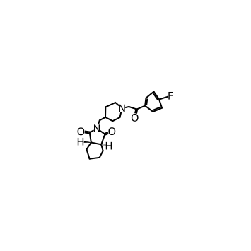 O=C(CN1CCC(CN2C(=O)[C@H]3CCCC[C@@H]3C2=O)CC1)c1ccc(F)cc1